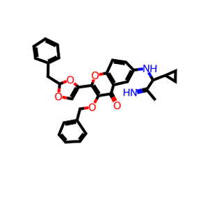 CC(=N)C(Nc1ccc2oc(C3=COC(Cc4ccccc4)O3)c(OCc3ccccc3)c(=O)c2c1)C1CC1